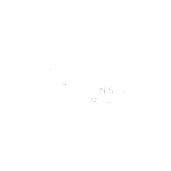 CCOC(=O)[C@H]1C[C@@H]1c1ccc(-c2cn3nc(C(C)=O)cc(C4CC4)c3n2)c(F)c1